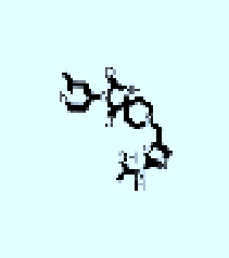 Cc1cc(N2C(=O)NC3(CCN(Cc4cnc(NC(C)O)s4)CC3)C2=O)ccn1